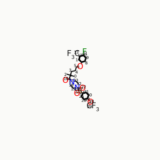 CC(C)(CCCOc1ccc(F)c(C(F)(F)F)c1)C(=O)N1CCN(S(=O)(=O)c2ccc(OC(F)(F)F)cc2)CC1